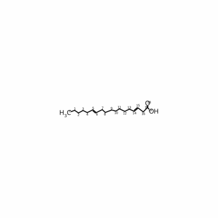 CCCCCC=CCCCCCCCC=CCC(=O)O